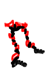 COCCOCCOCCOCCOC(=O)CCC(CO)(CO)CCC(=O)OCCOCCOCCOCCOC